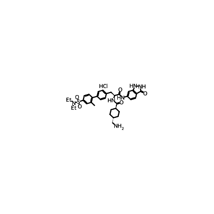 CCN(CC)S(=O)(=O)c1ccc(-c2ccc(C[C@H](NC(=O)[C@H]3CC[C@H](CN)CC3)C(=O)Nc3ccc4c(=O)[nH][nH]c4c3)cc2)c(C)c1.Cl